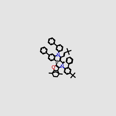 C=C1C2=C(/C=C/C(C)(C)C)N(c3cccc(-c4ccccc4)c3)c3cc(-c4ccccc4)ccc3B2C2=C(C3C(O2)C2(C)CCC3(C)CC2)N1c1ccc(C(C)(C)C)cc1C1=C=C=CC=C1